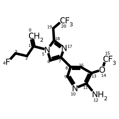 C=C(CCF)n1cc(-c2cnc(N)c(OC(F)(F)F)c2)nc1CC(F)(F)F